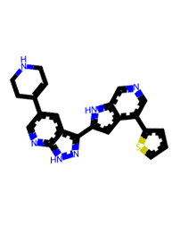 C1=C(c2cnc3[nH]nc(-c4cc5c(-c6cccs6)cncc5[nH]4)c3c2)CCNC1